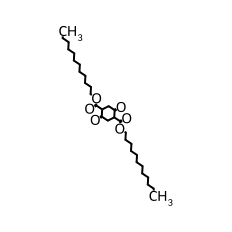 CCCCCCCCCCCCOC(=O)C1CC(=O)C(C(=O)OCCCCCCCCCCCC)CC1=O